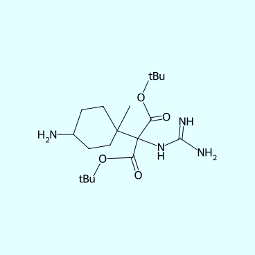 CC(C)(C)OC(=O)C(NC(=N)N)(C(=O)OC(C)(C)C)C1(C)CCC(N)CC1